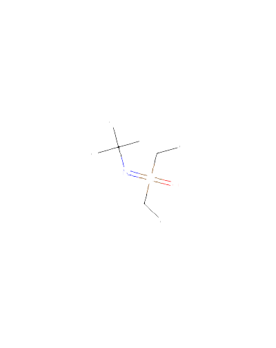 CCS(=O)(CC)=NC(C)(C)C